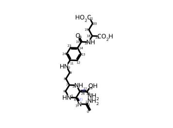 C=C(N)/N=C1/NCC(CCNc2ccc(C(=O)NC(CCC(=O)O)C(=O)O)cc2)N/C1=C(/N)O